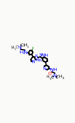 CN(C)CCNc1cc(F)cc(-c2ccnc3[nH]c(-c4n[nH]c5ccc(-c6cncc(NC(=O)CN(C)C)c6)cc45)nc23)c1